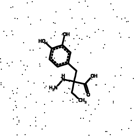 CCC(Cc1ccc(O)c(O)c1)(NN)C(=O)O